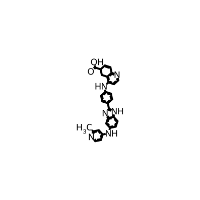 Cc1cc(Nc2ccc3[nH]c(-c4ccc(Nc5ccnc6c5CC(C(=O)O)C=C6)cc4)nc3c2)ccn1